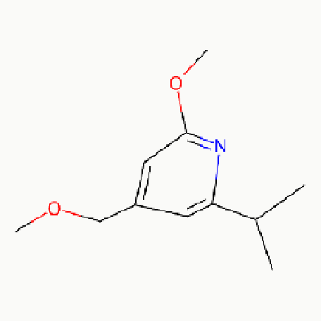 COCc1cc(OC)nc(C(C)C)c1